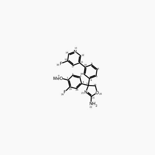 COc1ccc(C2(c3cccc(-c4cncc(F)c4)c3)COC(N)=N2)cc1F